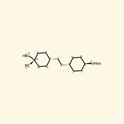 CCCCCC[C@H]1CC[C@H](CC[C@H]2CC[C@@](C#N)(CCCC)CC2)CC1